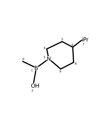 CB(O)N1CCC(C(C)C)CC1